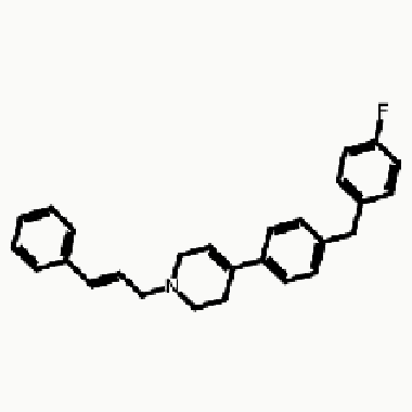 Fc1ccc(Cc2ccc(C3=CCN(C/C=C/c4ccccc4)CC3)cc2)cc1